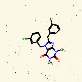 CCc1cccc(Cc2nc3c(c(=O)n(C)c(=O)n3C)n2Cc2cccc(Br)c2)c1